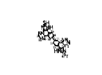 CC(C)c1nc2c3cnncc3c3cc(-c4ccc5c(c4)c4nccnc4c4nc(S)[nH]c54)ccc3c2[nH]1